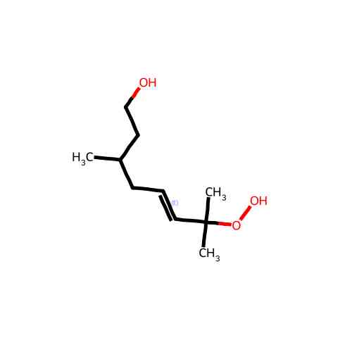 CC(C/C=C/C(C)(C)OO)CCO